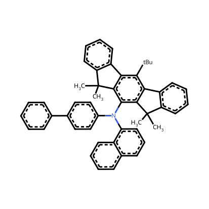 CC(C)(C)c1c2c(c(N(c3ccc(-c4ccccc4)cc3)c3cccc4ccccc34)c3c1-c1ccccc1C3(C)C)C(C)(C)c1ccccc1-2